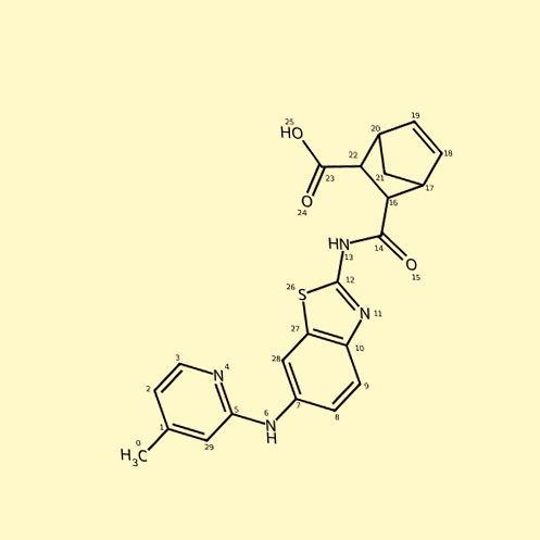 Cc1ccnc(Nc2ccc3nc(NC(=O)C4C5C=CC(C5)C4C(=O)O)sc3c2)c1